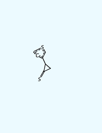 S=C1CC1c1ccsc1